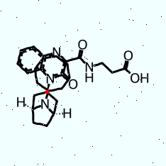 O=C(O)CCNC(=O)c1nc2ccccc2n([C@H]2C[C@H]3CC[C@@H](C2)N3C2CCCCCCC2)c1=O